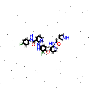 O=C(C[C@@H]1CCNC1)Nc1cc(Oc2ccc(Nc3ncccc3C(=O)Nc3ccc(F)cc3)cc2F)ccn1